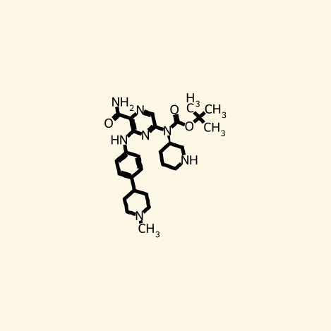 CN1CCC(c2ccc(Nc3nc(N(C(=O)OC(C)(C)C)[C@@H]4CCCNC4)cnc3C(N)=O)cc2)CC1